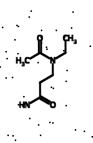 CCN(CCC([NH])=O)C(C)=O